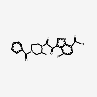 CC1CN(C(=O)c2ccccc2)CCN1C(=O)C(=O)c1c[nH]c2c(C(=O)O)ccc(F)c12